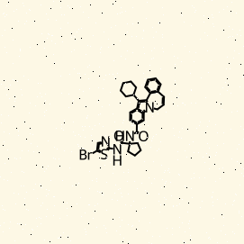 O=C(NC1(C(=O)Nc2ncc(Br)s2)CCCC1)c1ccc2c(C3CCCCC3)c3n(c2c1)CC=Cc1ccccc1-3